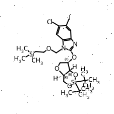 CC(C)(C)[Si]1(C(C)(C)C)OC[C@H]2OC[C@@H](Oc3nc4cc(I)c(Cl)cc4n3COCC[Si](C)(C)C)[C@@H]2O1